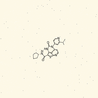 CC(C)c1cc(N2C(=O)Nc3c(C(=O)N[C@@H]4CCC[C@@H]4C)sc4nccc2c34)ccn1